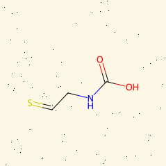 O=C(O)NCC=S